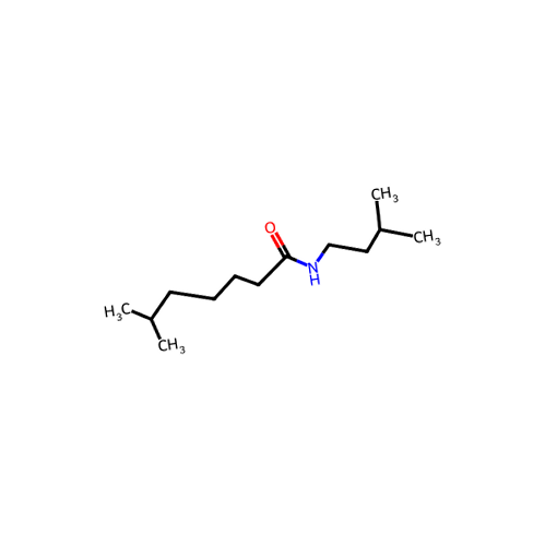 CC(C)CCCCC(=O)NCCC(C)C